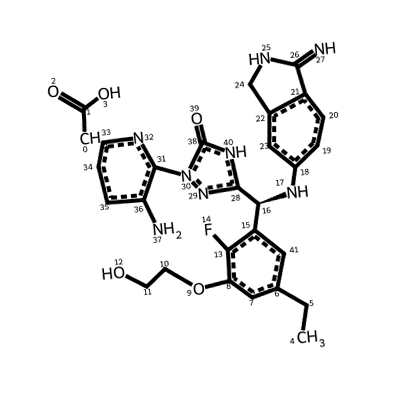 CC(=O)O.CCc1cc(OCCO)c(F)c([C@H](Nc2ccc3c(c2)CNC3=N)c2nn(-c3ncccc3N)c(=O)[nH]2)c1